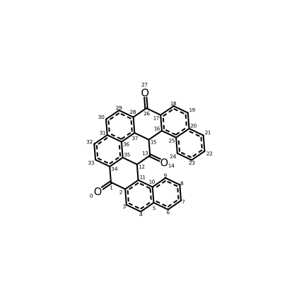 O=C1c2ccc3ccccc3c2C2C(=O)C3c4c(ccc5ccccc45)C(=O)c4ccc5ccc1c2c5c43